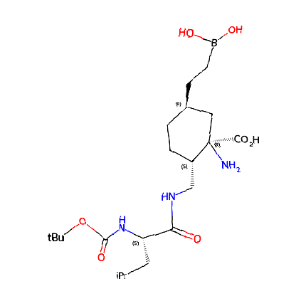 CC(C)C[C@H](NC(=O)OC(C)(C)C)C(=O)NC[C@@H]1CC[C@@H](CCB(O)O)C[C@]1(N)C(=O)O